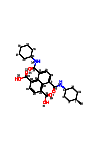 C[C@H]1CC[C@@H](NC(=O)c2ccc(C(=O)NC3CCCCC3)c3c(C(=O)O)ccc(C(=O)O)c23)CC1